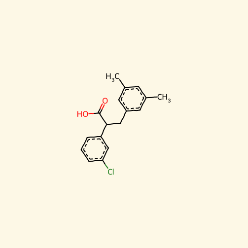 Cc1cc(C)cc(CC(C(=O)O)c2cccc(Cl)c2)c1